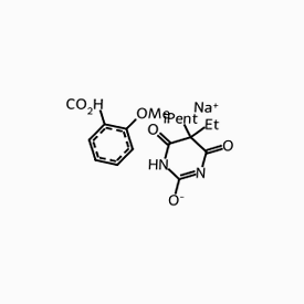 CCCC(C)C1(CC)C(=O)N=C([O-])NC1=O.COc1ccccc1C(=O)O.[Na+]